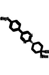 CCCCCCCc1ccc(-c2cnc([C@H]3CC[C@@](C#N)(CCCCCC)CC3)nc2)cc1